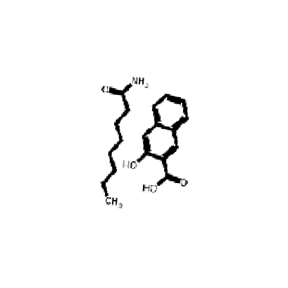 CCCCCCCC(N)=O.O=C(O)c1cc2ccccc2cc1O